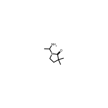 CC(N)N1CCC(C)(C)C1=O